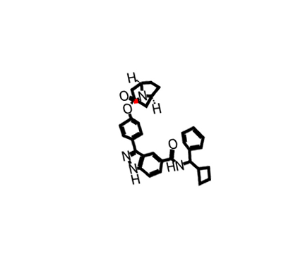 O=CN1[C@@H]2CC[C@H]1C[C@@H](Oc1ccc(-c3n[nH]c4ccc(C(=O)NC(c5ccccc5)C5CCC5)cc34)cc1)C2